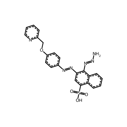 NN=Nc1c(/N=N/c2ccc(OCc3ccccn3)cc2)cc(S(=O)(=O)O)c2ccccc12